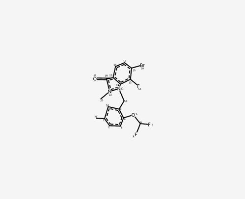 Cc1ccc(OC(F)F)c(Cn2c3c(F)c(Br)ccc3c(=O)n2C)c1